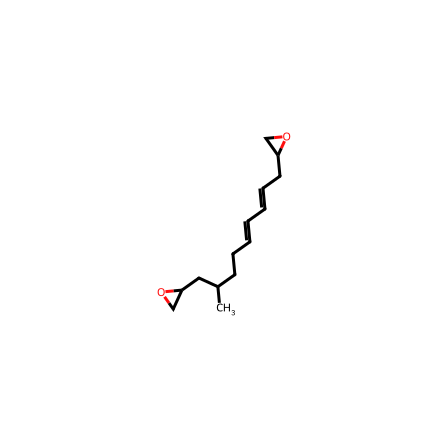 CC(CCC=CC=CCC1CO1)CC1CO1